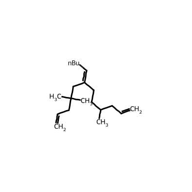 C=CCC(C)CCC(=CCCCC)CC(C)(C)CC=C